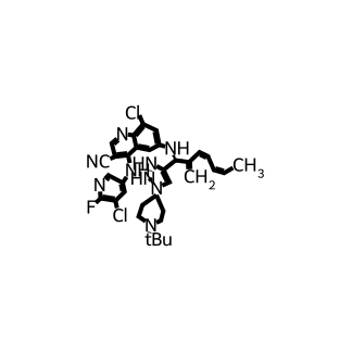 C=C(/C=C\C=C/C)[C@H](Nc1cc(Cl)c2ncc(C#N)c(Nc3cnc(F)c(Cl)c3)c2c1)C1=CN(C2CCN(C(C)(C)C)CC2)NN1